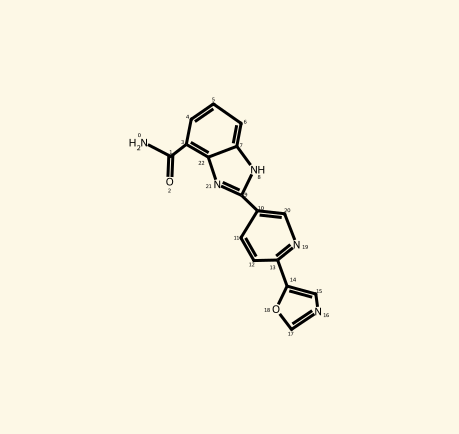 NC(=O)c1cccc2[nH]c(-c3ccc(-c4cnco4)nc3)nc12